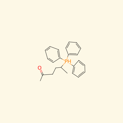 CC(=O)CCC(C)[PH](c1ccccc1)(c1ccccc1)c1ccccc1